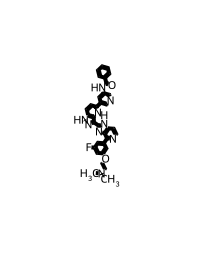 CN(C)CCOc1cc(F)cc(-c2nccc3[nH]c(-c4n[nH]c5ccc(-c6cncc(NC(=O)c7ccccc7)c6)nc45)nc23)c1